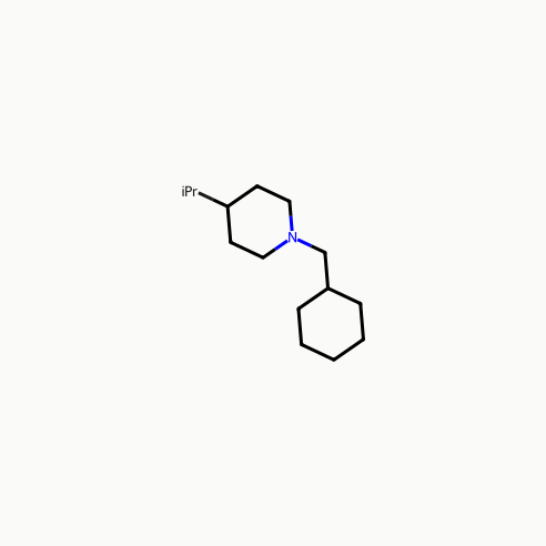 CC(C)C1CCN(CC2CCCCC2)CC1